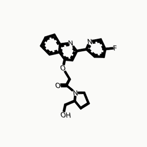 O=C(COc1cc(-c2ccc(F)cn2)nc2ccccc12)N1CCCC1CO